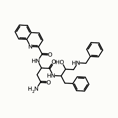 NC(=O)CC(NC(=O)c1ccc2ccccc2n1)C(=O)NC(Cc1ccccc1)C(O)CNCc1ccccc1